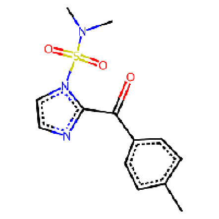 Cc1ccc(C(=O)c2nccn2S(=O)(=O)N(C)C)cc1